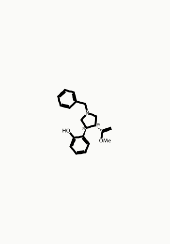 C=C(OC)[C@H]1CN(Cc2ccccc2)C[C@@H]1c1ccccc1O